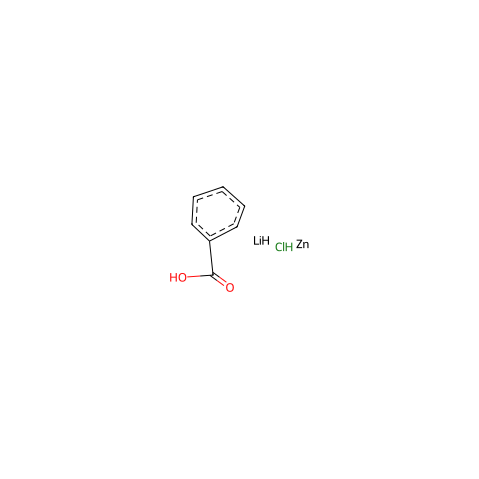 Cl.O=C(O)c1ccccc1.[LiH].[Zn]